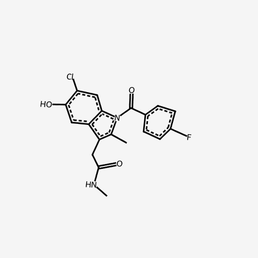 CNC(=O)Cc1c(C)n(C(=O)c2ccc(F)cc2)c2cc(Cl)c(O)cc12